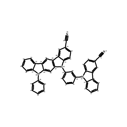 N#Cc1ccc2c(c1)c1ccccc1n2-c1cccc(-n2c3ccc(C#N)cc3c3cc4c5ccccc5n(-c5ccccc5)c4cc32)c1